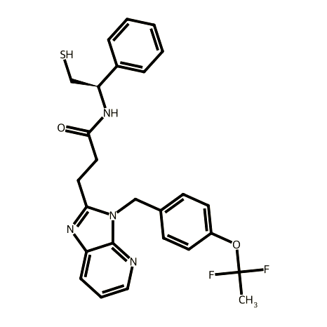 CC(F)(F)Oc1ccc(Cn2c(CCC(=O)N[C@@H](CS)c3ccccc3)nc3cccnc32)cc1